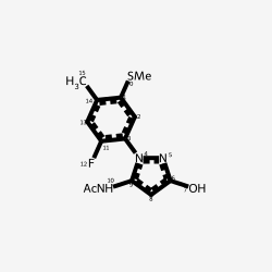 CSc1cc(-n2nc(O)cc2NC(C)=O)c(F)cc1C